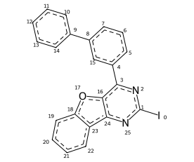 Ic1nc(-c2cccc(-c3ccccc3)c2)c2oc3ccccc3c2n1